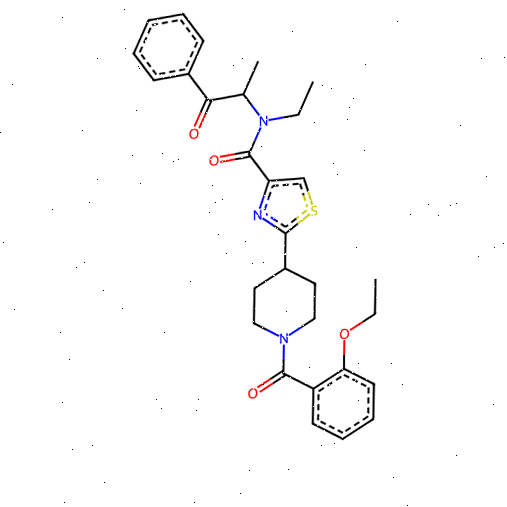 CCOc1ccccc1C(=O)N1CCC(c2nc(C(=O)N(CC)C(C)C(=O)c3ccccc3)cs2)CC1